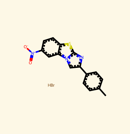 Br.Cc1ccc(-c2cn3c(n2)sc2ccc([N+](=O)[O-])cc23)cc1